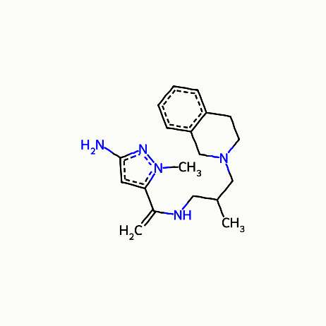 C=C(NCC(C)CN1CCc2ccccc2C1)c1cc(N)nn1C